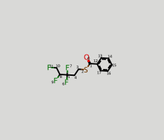 O=C(SCCC(F)(F)C(F)CF)c1ccccc1